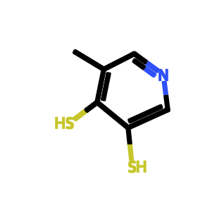 Cc1cncc(S)c1S